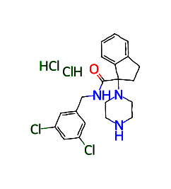 Cl.Cl.O=C(NCc1cc(Cl)cc(Cl)c1)C1(N2CCNCC2)CCc2ccccc21